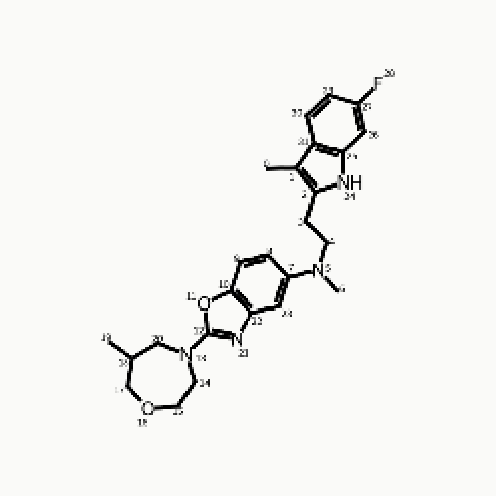 Cc1c(CCN(C)c2ccc3oc(N4CCOCC(C)C4)nc3c2)[nH]c2cc(F)ccc12